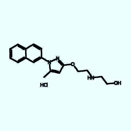 Cc1cc(OCCNCCO)nn1-c1ccc2ccccc2c1.Cl